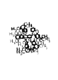 CC(C)(C)c1ccc2c(c1)Oc1ccccc1N2c1cc2c3c(c1)N(c1ccc4c(c1)C(C)(C)CCC4(C)C)c1c(oc4cc5c(cc14)C(C)(C)CCC5(C)C)B3c1cc3c(cc1N2c1ccc2c(c1)C(C)(C)CCC2(C)C)C(C)(C)CCC3(C)C